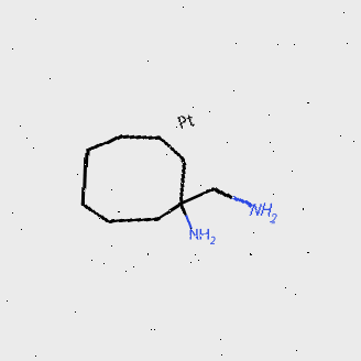 NCC1(N)CCCCCCC1.[Pt]